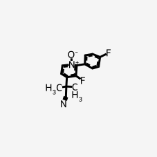 CC(C)(C#N)c1cc[n+]([O-])c(-c2ccc(F)cc2)c1F